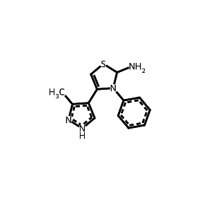 Cc1n[nH]cc1C1=CSC(N)N1c1ccccc1